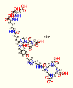 O=C(O)CC[C@H](NC(=O)N[C@@H](CCCCNC(=O)CCCCCN(Cc1ccc(OCc2cn(CCCNC(=O)CN3CCN(CC(=O)O)CCN(CC(=O)O)CCN(CC(=O)O)CC3)nn2)cc1)Cc1nccn1CC(=O)N(CC(=O)O)CC(=O)O)C(=O)O)C(=O)O.[In]